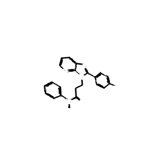 CN(C(=O)CCn1c(-c2ccc(Cl)cc2)nc2cccnc21)c1ccccc1